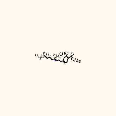 COC(=O)C1CC=C(CC/C=C(\C)CCC=C(C)C)CC1C=O